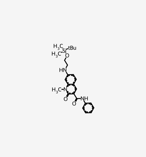 Cn1c(=O)c(C(=O)Nc2ccccc2)cc2ccc(NCCO[Si](C)(C)C(C)(C)C)cc21